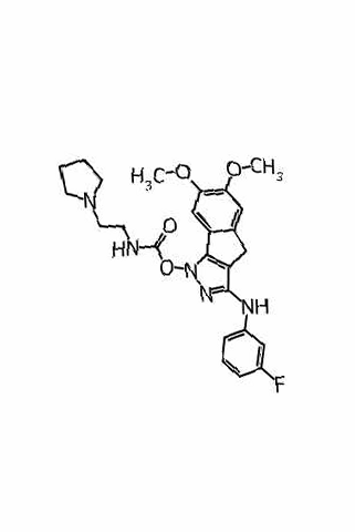 COc1cc2c(cc1OC)-c1c(c(Nc3cccc(F)c3)nn1OC(=O)NCCN1CCCC1)C2